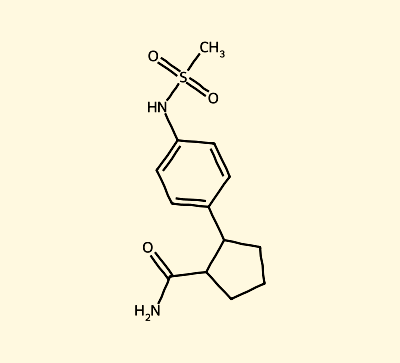 CS(=O)(=O)Nc1ccc(C2CCCC2C(N)=O)cc1